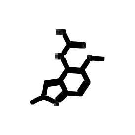 COc1ccc2nn(C)cc2c1NC(=O)O